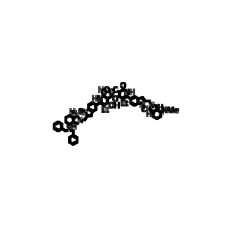 CCc1c(-c2ccc3c(c2)cc(CN2C[C@H]4CCC[C@@H](N(Cc5ccccc5)Cc5ccccc5)[C@H]4C2)n3C)[nH]c(=O)c(C(=O)Oc2c(CC)c(-c3ccc4c(c3)cc(CN3C[C@H]5CCC[C@@H](NC)[C@H]5C3)n4C)[nH]c(=O)c2C(=O)O)c1O